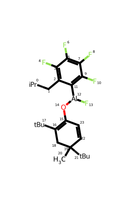 CC(C)Cc1c(F)c(F)c(F)c(F)[c]1[Al]([F])[O]C1=C(C(C)(C)C)CC(C)(C(C)(C)C)C=C1